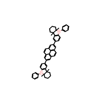 CC12CCCCC1(C)c1cc(-c3cc4ccc5cc(-c6ccc7c(c6)C6(C)CCCCC6(C)B7c6ccccc6)cc6ccc(c3)c4c56)ccc1B2c1ccccc1